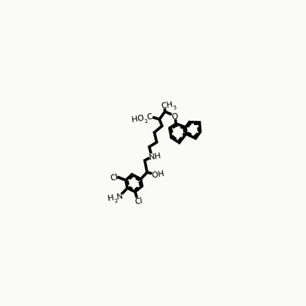 CC(Oc1cccc2ccccc12)C(CCCCNCC(O)c1cc(Cl)c(N)c(Cl)c1)C(=O)O